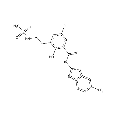 CS(=O)(=O)NCCc1cc(Cl)cc(C(=O)Nc2nc3ccc(C(F)(F)F)cc3s2)c1O